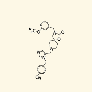 N#Cc1ccc(Cn2cncc2CN2CCC3(CC2)CN(Cc2cccc(OC(F)(F)F)c2)C(=O)O3)cc1